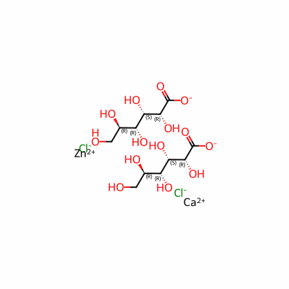 O=C([O-])[C@H](O)[C@@H](O)[C@H](O)[C@H](O)CO.O=C([O-])[C@H](O)[C@@H](O)[C@H](O)[C@H](O)CO.[Ca+2].[Cl-].[Cl-].[Zn+2]